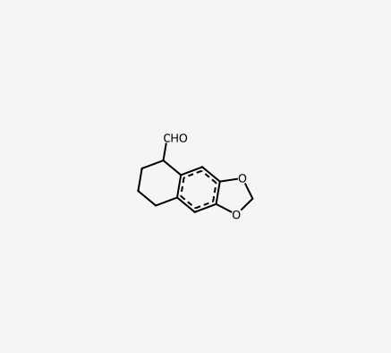 O=CC1CCCc2cc3c(cc21)OCO3